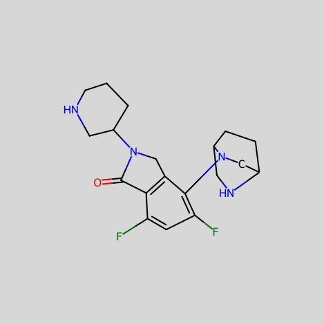 O=C1c2c(F)cc(F)c(N3CC4CCC3CN4)c2CN1C1CCCNC1